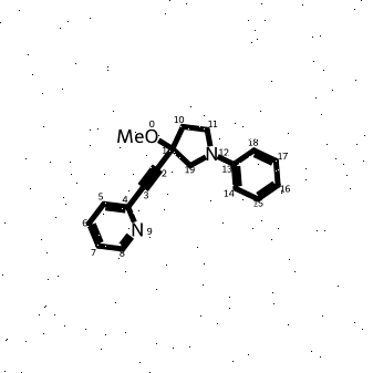 COC1(C#Cc2ccccn2)CCN(c2ccccc2)C1